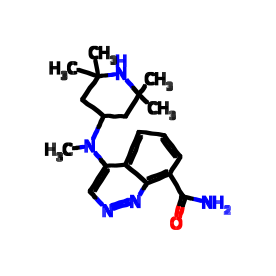 CN(c1cnnc2c(C(N)=O)cccc12)C1CC(C)(C)NC(C)(C)C1